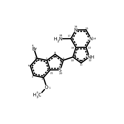 COc1ccc(Br)c2cc(-c3c[nH]c4ncnc(N)c34)sc12